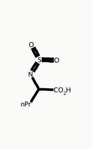 CCCC(N=S(=O)=O)C(=O)O